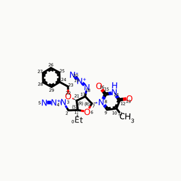 CC[C@@]1(CN=[N+]=[N-])O[C@@H](n2cc(C)c(=O)[nH]c2=O)C(N=[N+]=[N-])[C@H]1OCc1ccccc1